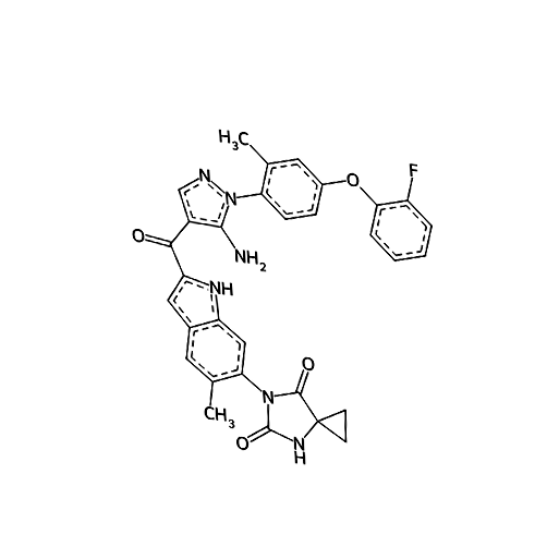 Cc1cc2cc(C(=O)c3cnn(-c4ccc(Oc5ccccc5F)cc4C)c3N)[nH]c2cc1N1C(=O)NC2(CC2)C1=O